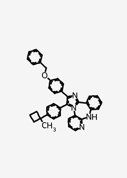 CC1(c2ccc(-c3c(-c4ccc(OCc5ccccc5)cc4)nc4n3-c3cccnc3Nc3ccccc3-4)cc2)CCC1